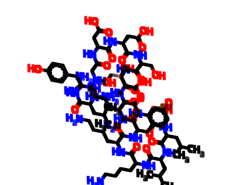 CC(C)CC(NC(=O)[C@H](CS)NC(=O)C(CC(N)=O)NC(=O)[C@H](CO)NC(=O)C(CO)NC(=O)[C@H](CC(=O)O)NC(=O)C(CC(=O)O)NC(=O)CNC(=O)C(Cc1ccc(O)cc1)NC(=O)[C@H](CC(C)C)NN)C(=O)N[C@@H](CC(C)C)C(=O)NC(CCCCN)C(=O)N[C@@H](CCCCN)C(=O)NC(Cc1ccc(O)cc1)C(=O)N[C@@H](CCCNC(=N)N)C(=O)NC(CO)C(=O)O